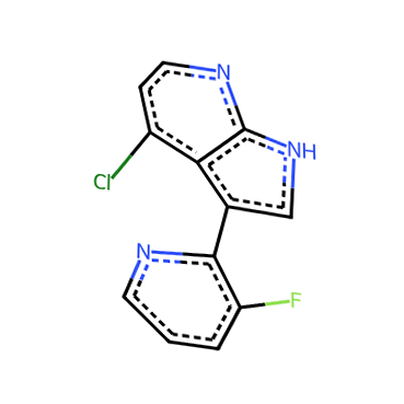 Fc1cccnc1-c1c[nH]c2nccc(Cl)c12